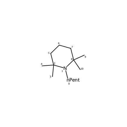 CCCCCN1C(C)(C)CCCC1(C)C